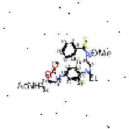 CCN(CCN(OC)C(=S)c1ccccc1)c1c(F)cc(N2C[C@H](CNC(C)=O)OC2=O)cc1F